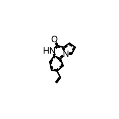 C=Cc1ccc2[nH]c(=O)c3cccn3c2c1